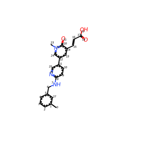 Cc1cccc(CNc2ccc(-c3cc(/C=C/C(=O)O)c(=O)n(C)c3)cn2)c1